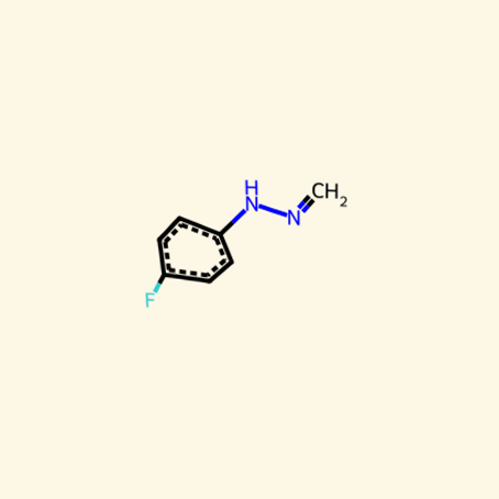 C=NNc1ccc(F)cc1